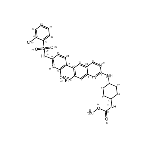 CCc1cc2nc(NC3CCC(NC(=O)OC(C)(C)C)CC3)ncc2cc1-c1ccc(NS(=O)(=O)c2ccccc2Cl)nc1OC